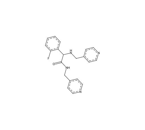 O=C(NCc1ccncc1)C(NCc1ccncc1)c1ccccc1F